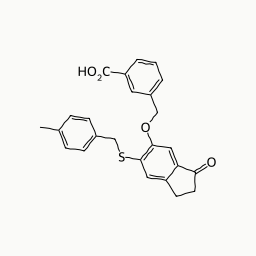 Cc1ccc(CSc2cc3c(cc2OCc2cccc(C(=O)O)c2)C(=O)CC3)cc1